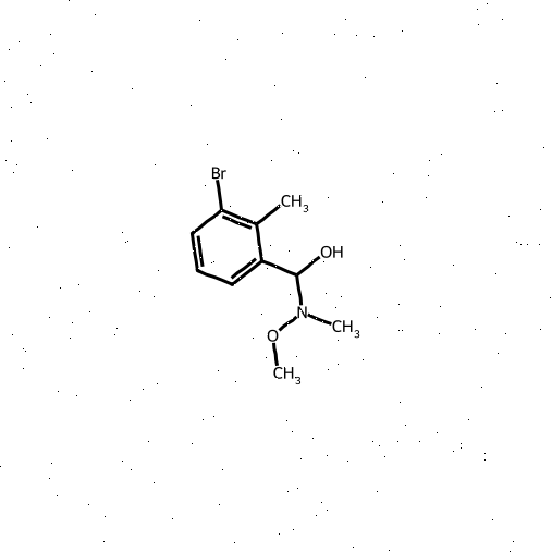 CON(C)C(O)c1cccc(Br)c1C